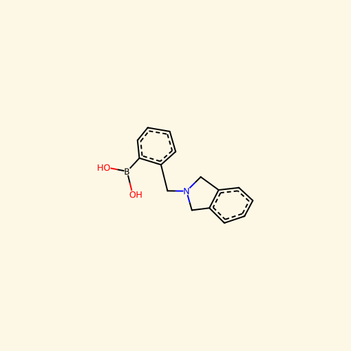 OB(O)c1ccccc1CN1Cc2ccccc2C1